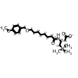 COc1ccc(COCCCCCCCC(=O)N[C@H](CC(=O)[O-])C[N+](C)(C)C)cc1